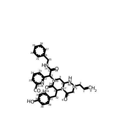 C=CCN1CC(=O)N2C(CN(C(C(=O)NCc3ccccc3)c3cccc(C(=O)O)n3)C(=O)C2Cc2ccc(O)cc2)N1